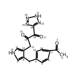 CC(=O)c1ccc(Cc2c[nH]cc2CC(=O)C(=O)c2nn[nH]n2)cc1